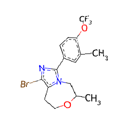 Cc1cc(-c2nc(Br)c3n2CC(C)OCC3)ccc1OC(F)(F)F